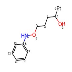 CCC(O)CCCONc1ccccc1